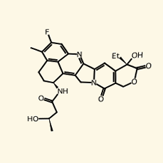 CC[C@@]1(O)C(=O)OCc2c1cc1n(c2=O)Cc2c-1nc1cc(F)c(C)c3c1c2[C@@H](NC(=O)C[C@@H](C)O)CC3